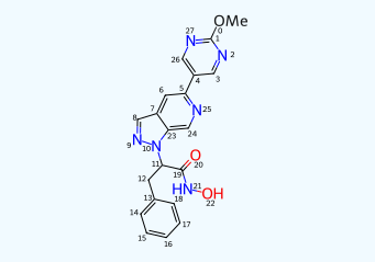 COc1ncc(-c2cc3cnn(C(Cc4ccccc4)C(=O)NO)c3cn2)cn1